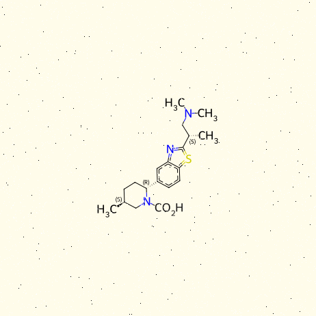 C[C@H]1CC[C@H](c2ccc3sc([C@@H](C)CN(C)C)nc3c2)N(C(=O)O)C1